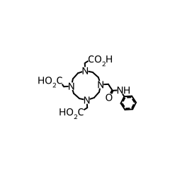 O=C(O)CN1CCN(CC(=O)O)CCN(CC(=O)Nc2ccccc2)CCN(CC(=O)O)CC1